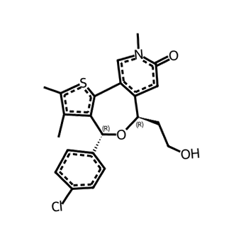 Cc1sc2c(c1C)[C@@H](c1ccc(Cl)cc1)O[C@H](CCO)c1cc(=O)n(C)cc1-2